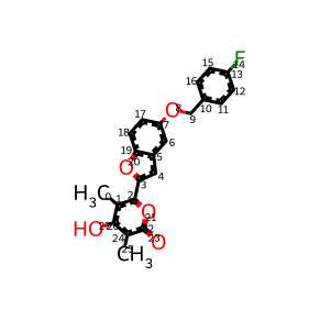 Cc1c(-c2cc3cc(OCc4ccc(F)cc4)ccc3o2)oc(=O)c(C)c1O